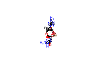 CC[C@@H]1[C@@H]2CCOC3O[C@@H](n4cnc5c(=O)[nH]c(N)nc54)[C@H](OP(=O)(S)OC[C@H]2O[C@H]1n1cnc2c(N)ncnc21)[C@@H]3F